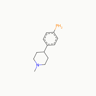 CN1CCC(c2ccc(P)cc2)CC1